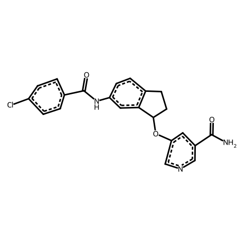 NC(=O)c1cncc(OC2CCc3ccc(NC(=O)c4ccc(Cl)cc4)cc32)c1